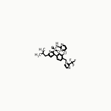 CC(C)Cc1cc(-c2ccc(Cn3ccnc3C(F)(F)F)c(Cl)c2)c(S(=O)(=O)Nc2ncccn2)s1